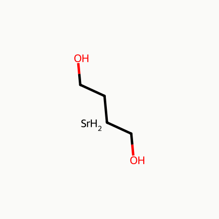 OCCCCO.[SrH2]